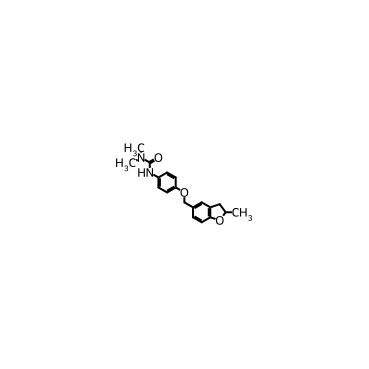 CC1Cc2cc(COc3ccc(NC(=O)N(C)C)cc3)ccc2O1